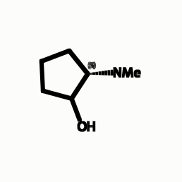 [CH2]N[C@H]1CCCC1O